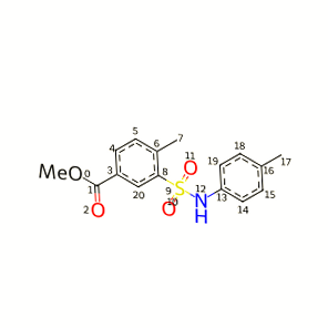 COC(=O)c1ccc(C)c(S(=O)(=O)Nc2ccc(C)cc2)c1